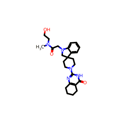 CN(CCO)C(=O)CN1CC2(CCN(c3nc4c(c(=O)[nH]3)CCCC4)CC2)c2ccccc21